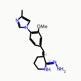 COc1cc(/C=C2\CCCN\C2=N/N)ccc1-n1cnc(C)c1